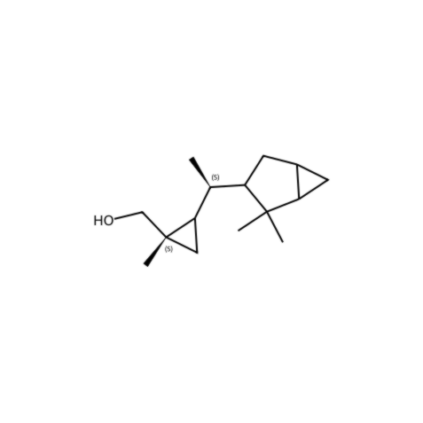 C[C@@H](C1CC2CC2C1(C)C)C1C[C@]1(C)CO